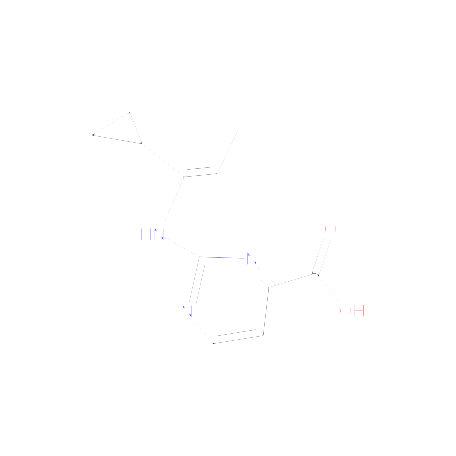 CC=C(Nc1nccc(C(=O)O)n1)C1CC1